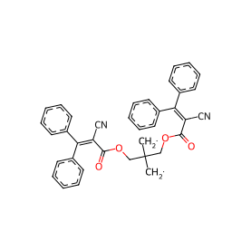 [CH2]C([CH2])(COC(=O)C(C#N)=C(c1ccccc1)c1ccccc1)COC(=O)C(C#N)=C(c1ccccc1)c1ccccc1